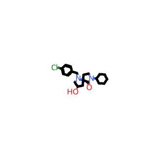 O=C1N(C2CCCCC2)CCC12C[C@@H](O)CN2Cc1ccc(Cl)cc1